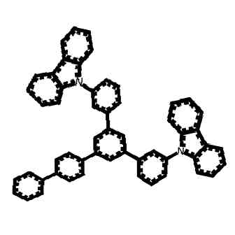 c1ccc(-c2ccc(-c3cc(-c4cccc(-n5c6ccccc6c6ccccc65)c4)cc(-c4cccc(-n5c6ccccc6c6ccccc65)c4)c3)cc2)cc1